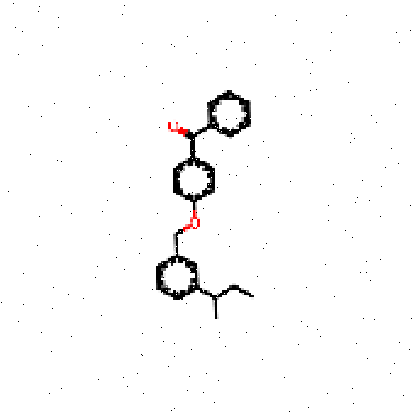 CCC(C)c1cccc(COc2ccc(C(=O)c3ccccc3)cc2)c1